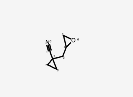 N#CC1(CC2CO2)CC1